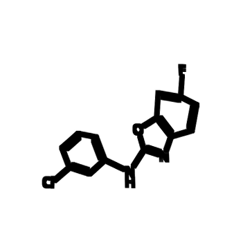 Fc1ccc2nc(Nc3cccc(Cl)c3)oc2c1